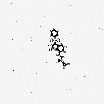 O=S(=O)(c1ccccc1)c1c[nH]c2c(CCNC3CC3)cccc12